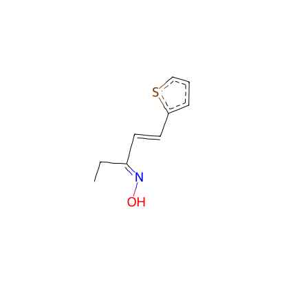 CCC(C=Cc1cccs1)=NO